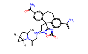 C=C(N)c1ccc2c(c1)CCc1cc(C(N)=O)ccc1C2(CCNCC(=C)N1C(C#N)C[C@@H]2C[C@@H]21)c1nc(=O)on1C